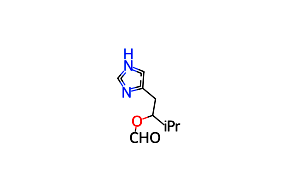 CC(C)C(Cc1c[nH]cn1)OC=O